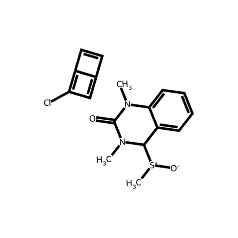 CN1C(=O)N(C)C([S+](C)[O-])c2ccccc21.Clc1cc2ccc1-2